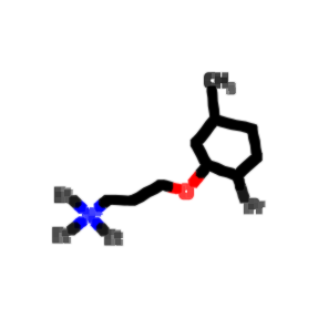 CC[N+](CC)(CC)CCCOC1CC(C)CCC1C(C)C